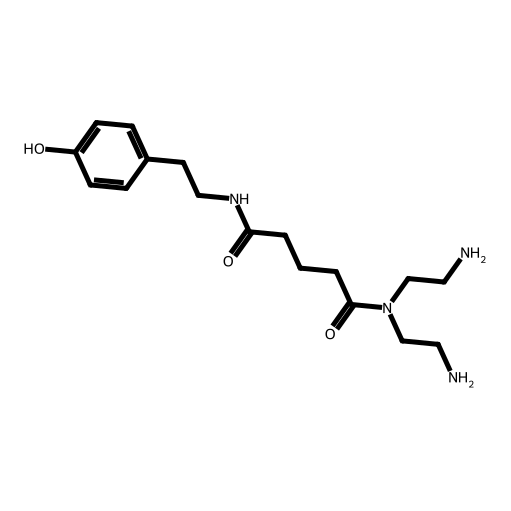 NCCN(CCN)C(=O)CCCC(=O)NCCc1ccc(O)cc1